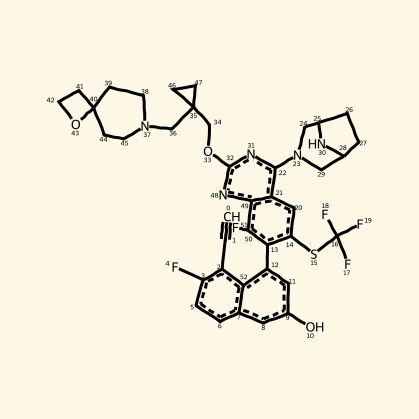 C#Cc1c(F)ccc2cc(O)cc(-c3c(SC(F)(F)F)cc4c(N5CC6CCC(C5)N6)nc(OCC5(CN6CCC7(CCO7)CC6)CC5)nc4c3F)c12